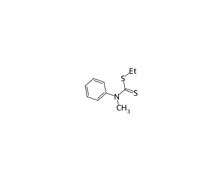 CCSC(=S)N(C)c1ccccc1